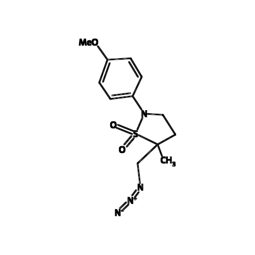 COc1ccc(N2CCC(C)(CN=[N+]=[N-])S2(=O)=O)cc1